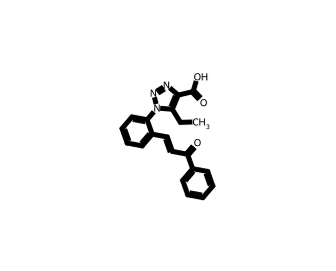 CCc1c(C(=O)O)nnn1-c1ccccc1C=CC(=O)c1ccccc1